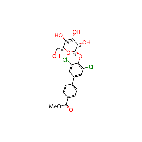 COC(=O)c1ccc(-c2cc(Cl)c(O[C@H]3O[C@H](CO)[C@@H](O)[C@H](O)[C@@H]3O)c(Cl)c2)cc1